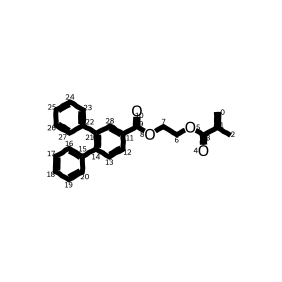 C=C(C)C(=O)OCCOC(=O)c1ccc(-c2ccccc2)c(-c2ccccc2)c1